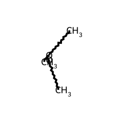 CCCCCCCCCCCCCCCOCC(CC)OCCCCCCCCCCCCCCC